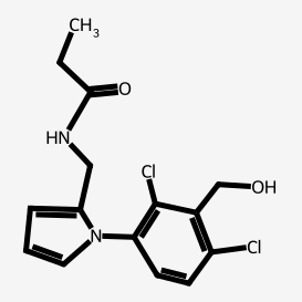 CCC(=O)NCc1cccn1-c1ccc(Cl)c(CO)c1Cl